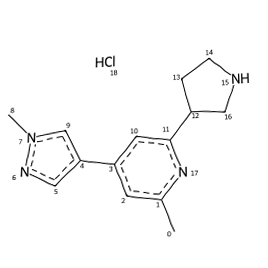 Cc1cc(-c2cnn(C)c2)cc(C2CCNC2)n1.Cl